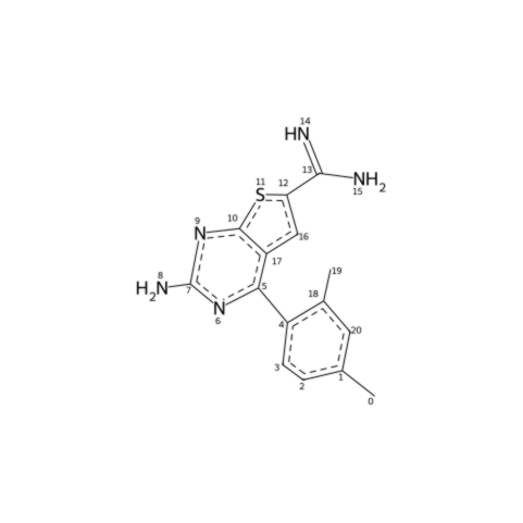 Cc1ccc(-c2nc(N)nc3sc(C(=N)N)cc23)c(C)c1